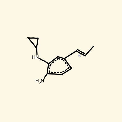 C/C=C/c1ccc(N)c(NC2CC2)c1